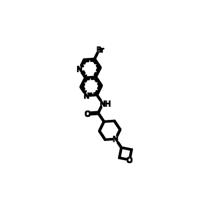 O=C(Nc1cc2cc(Br)cnc2cn1)C1CCN(C2COC2)CC1